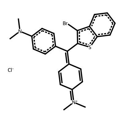 CN(C)c1ccc(C(=C2C=CC(=[N+](C)C)C=C2)c2sc3ccccc3c2Br)cc1.[Cl-]